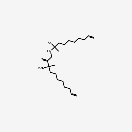 C=CCCCCCCC(C)(NCC(=O)C(C)(CCCCCCC=C)NC)C(C)=O